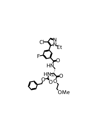 CCn1ncc(Cl)c1-c1cc(F)cc(C(=O)NC[C@@H](NC(=O)OCc2ccccc2)C(=O)OCCOC)c1